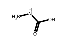 BNC(=O)O